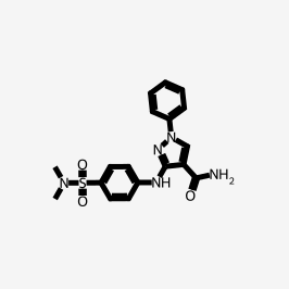 CN(C)S(=O)(=O)c1ccc(Nc2nn(-c3ccccc3)cc2C(N)=O)cc1